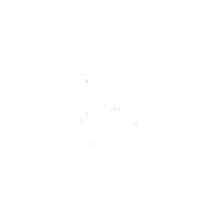 CCOC(=O)C(COC(=O)c1c(C)nc2c(C)cnc(OCC)c2c1-c1ccc(C#N)cc1OC)NC(=O)OC(C)(C)C